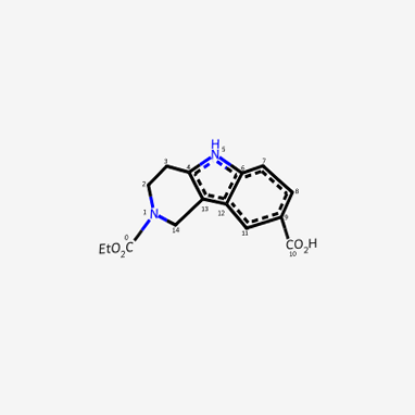 CCOC(=O)N1CCc2[nH]c3ccc(C(=O)O)cc3c2C1